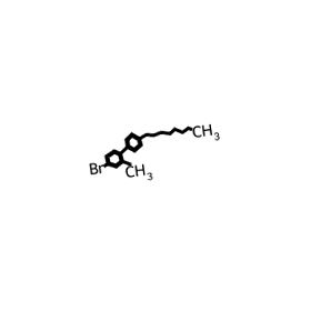 CCCCCCCCc1ccc(-c2ccc(Br)cc2CC)cc1